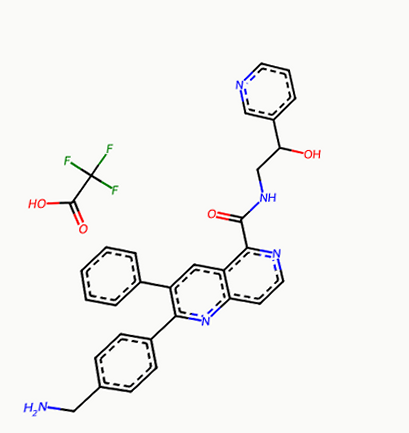 NCc1ccc(-c2nc3ccnc(C(=O)NCC(O)c4cccnc4)c3cc2-c2ccccc2)cc1.O=C(O)C(F)(F)F